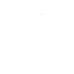 CC(C)(O)CN(CC(C)(C)O)C1CC(C)(C)NC(C)(C)C1